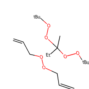 C=CCOOCC=C.CCC(C)(OOC(C)(C)C)OOC(C)(C)C